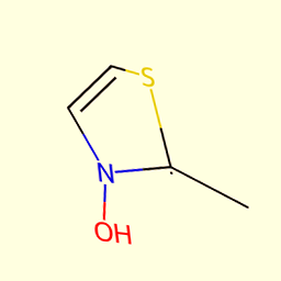 C[C]1SC=CN1O